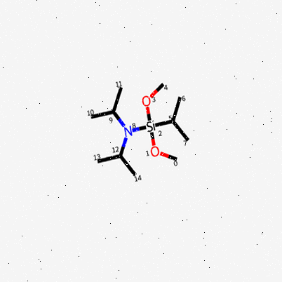 CO[Si](OC)(C(C)C)N(C(C)C)C(C)C